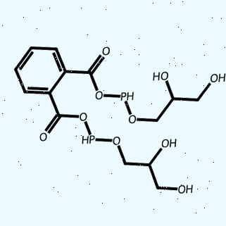 O=C(OPOCC(O)CO)c1ccccc1C(=O)OPOCC(O)CO